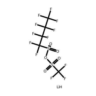 O=S(=O)(OS(=O)(=O)C(F)(F)C(F)(F)C(F)(F)C(F)(F)F)C(F)(F)F.[LiH]